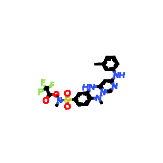 Cc1cccc(Nc2cc(Nc3cc(S(=O)(=O)N(C)OC(=O)C(F)(F)F)ccc3N(C)C)ncn2)c1